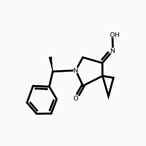 C[C@H](c1ccccc1)N1CC(=NO)C2(CC2)C1=O